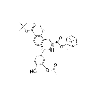 COc1c(C[C@H](NC(=O)c2ccc(O)c(OC(C)=O)c2)B2OC3CC4CC(C4(C)C)C3(C)O2)cccc1C(=O)OC(C)(C)C